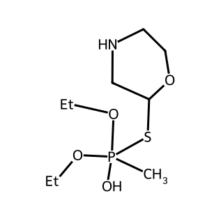 CCOP(C)(O)(OCC)SC1CNCCO1